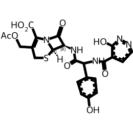 CC(=O)OCC1=C(C(=O)O)N2C(=O)[C@@H](NC(=O)C(NC(=O)c3ccnnc3O)c3ccc(O)cc3)[C@H]2SC1